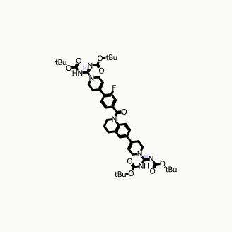 CC(C)(C)OC(=O)/N=C(/NC(=O)OC(C)(C)C)N1CC=C(c2ccc(C(=O)N3CCCc4cc(C5=CCN(/C(=N/C(=O)OC(C)(C)C)NC(=O)OC(C)(C)C)CC5)ccc43)cc2F)CC1